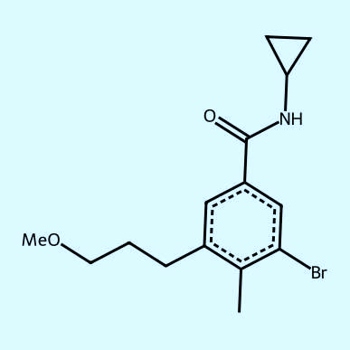 COCCCc1cc(C(=O)NC2CC2)cc(Br)c1C